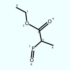 CCOC(=O)C(C)P=O